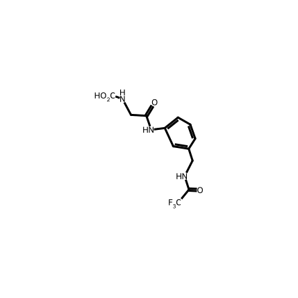 O=C(O)NCC(=O)Nc1cccc(CNC(=O)C(F)(F)F)c1